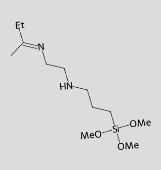 CCC(C)=NCCNCCC[Si](OC)(OC)OC